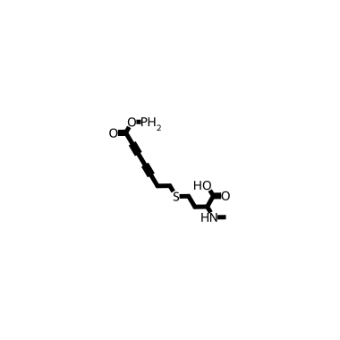 CNC(CCSCCC#CC#CC(=O)OP)C(=O)O